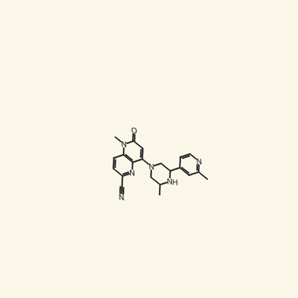 Cc1cc(C2CN(c3cc(=O)n(C)c4ccc(C#N)nc34)CC(C)N2)ccn1